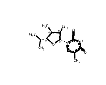 Cc1cn([C@@H]2O[C@H](C(C)C)[C@@H](C)[C@H]2C)c(=O)[nH]c1=O